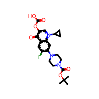 CC(C)(C)OC(=O)N1CCN(c2cc3c(cc2F)c(=O)c(OC(=O)O)cn3C2CC2)CC1